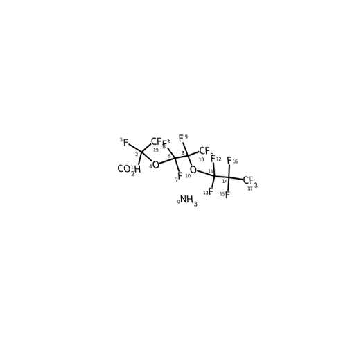 N.O=C(O)C(F)(OC(F)(F)C(F)(OC(F)(F)C(F)(F)C(F)(F)F)C(F)(F)F)C(F)(F)F